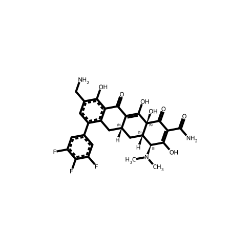 CN(C)[C@@H]1C(O)=C(C(N)=O)C(=O)[C@@]2(O)C(O)=C3C(=O)c4c(O)c(CN)cc(-c5cc(F)c(F)c(F)c5)c4C[C@H]3C[C@@H]12